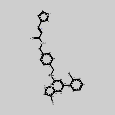 O=C(/C=C/c1ccsc1)NCc1ccc(CNc2cc(-c3ccccc3Cl)nc3c(Br)cnn23)cc1